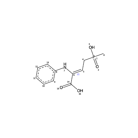 CP(=O)(O)C/C=C(\Nc1ccccc1)C(=O)O